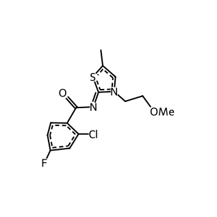 COCCn1cc(C)s/c1=N\C(=O)c1ccc(F)cc1Cl